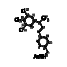 CC(=O)NCc1ccc(/C=C/C(c2cc(Cl)c(Cl)c(Cl)c2)C(F)(F)F)cc1